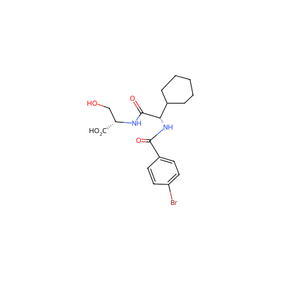 O=C(N[C@H](C(=O)N[C@@H](CO)C(=O)O)C1CCCCC1)c1ccc(Br)cc1